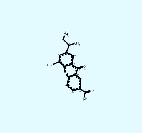 CCC(C)c1cc(C)c2oc3ccc(C(=O)O)cc3c(=O)c2c1